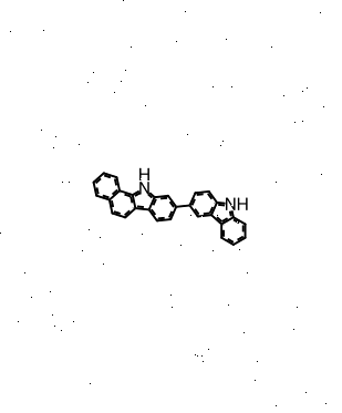 c1ccc2c(c1)ccc1c3ccc(-c4ccc5[nH]c6ccccc6c5c4)cc3[nH]c21